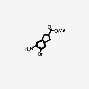 COC(=O)C1Cc2cc(N)c(Br)cc2C1